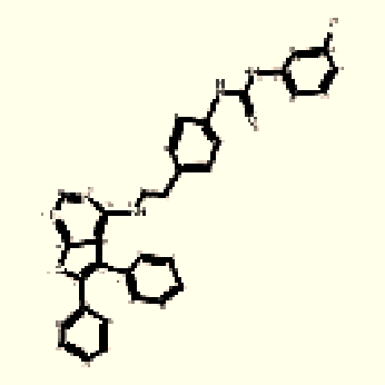 O=C(Nc1ccc(CCNc2ncnc3oc(-c4ccccc4)c(-c4ccccc4)c23)cc1)Nc1cccc(F)c1